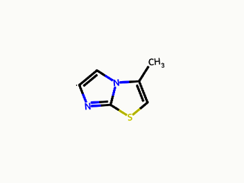 Cc1csc2n[c]cn12